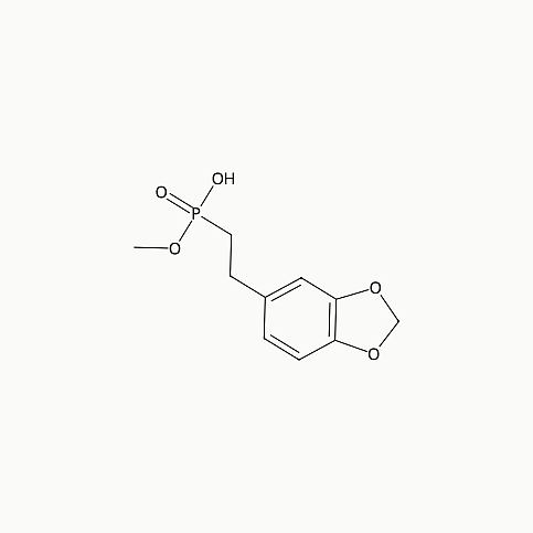 COP(=O)(O)CCc1ccc2c(c1)OCO2